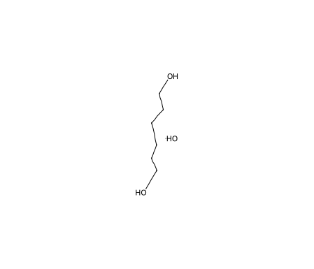 OCCCCCCO.[OH]